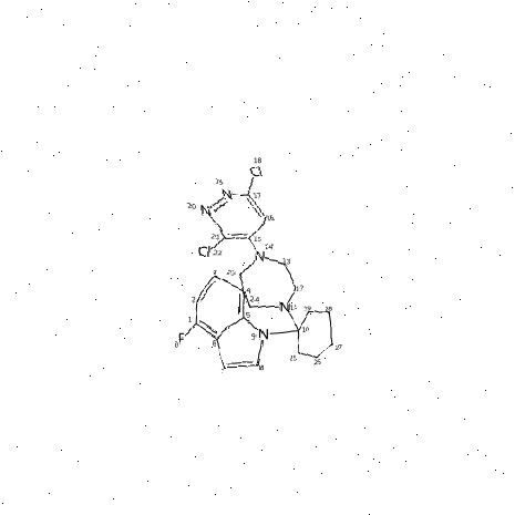 Fc1cccc2c1ccn2C1(N2CCN(c3cc(Cl)nnc3Cl)CC2)CCCCC1